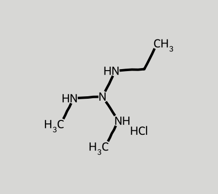 CCNN(NC)NC.Cl